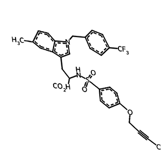 CC#CCOc1ccc(S(=O)(=O)NC(Cc2cn(Cc3ccc(C(F)(F)F)cc3)c3ccc(C)cc23)C(=O)O)cc1